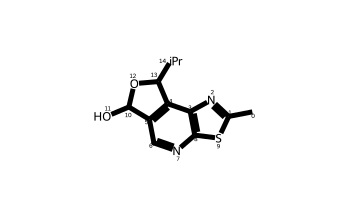 Cc1nc2c3c(cnc2s1)C(O)OC3C(C)C